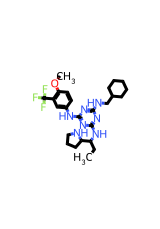 CCC(Nc1nc(NCC2CCCCC2)nc(Nc2ccc(OC)c(C(F)(F)F)c2)n1)C1CCCN1